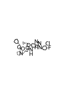 O=C(/C=C/CN1CCC[C@H]1C(=O)OCc1ccccc1)Nc1cc2c(Nc3ccc(F)c(Cl)c3)ncnc2cc1OCC1CC1